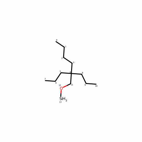 CCCCC(CCC)(CCC)CO[SiH3]